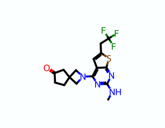 CNc1nc(N2CC3(CCC(=O)C3)C2)c2cc(CC(F)(F)F)sc2n1